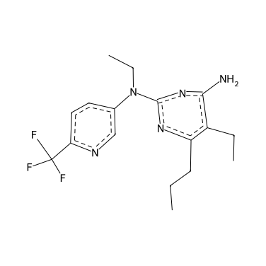 CCCc1nc(N(CC)c2ccc(C(F)(F)F)nc2)nc(N)c1CC